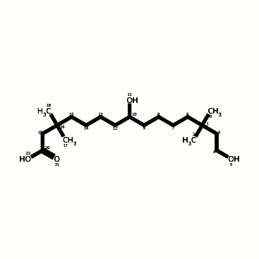 CC(C)(CCO)CCCCC(O)CCCCC(C)(C)CC(=O)O